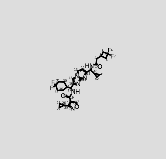 O=C(CC1CC(F)(F)C1)NC(c1ccn2cc(C(NC(=O)c3conc3C3CC3)C3CCC(F)(F)CC3)nc2n1)C1CC1